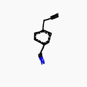 C#CCc1ccc(C#N)cc1